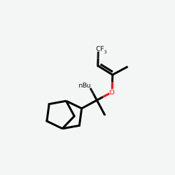 CCCCC(C)(OC(C)=CC(F)(F)F)C1CC2CCC1C2